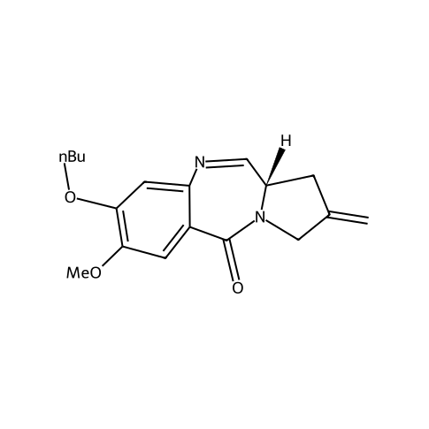 C=C1C[C@H]2C=Nc3cc(OCCCC)c(OC)cc3C(=O)N2C1